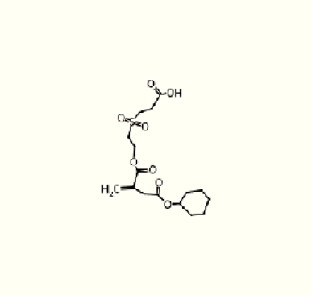 C=C(CC(=O)OC1CCCCC1)C(=O)OCCS(=O)(=O)CCC(=O)O